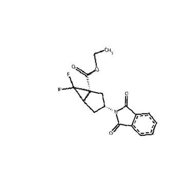 CCOC(=O)[C@]12C[C@H](N3C(=O)c4ccccc4C3=O)CC1C2(F)F